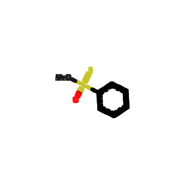 COS(=O)(=S)c1ccccc1